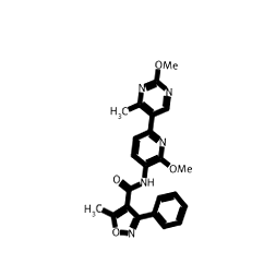 COc1ncc(-c2ccc(NC(=O)c3c(-c4ccccc4)noc3C)c(OC)n2)c(C)n1